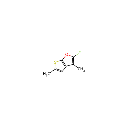 Cc1cc2c(C)c(F)oc2s1